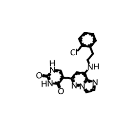 O=c1[nH]cc(-c2cc(NCCc3ccccc3Cl)c3nccn3n2)c(=O)[nH]1